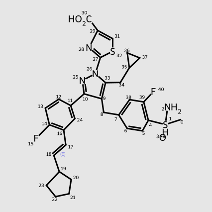 C[SH](N)(=O)c1ccc(Cc2c(-c3ccc(F)c(/C=C/C4CCCC4)c3)nn(-c3nc(C(=O)O)cs3)c2CC2CC2)cc1F